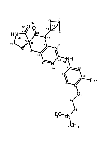 CN(C)CCOc1ccc(Nc2ncc3c(n2)N(C24CC(C2)C4)C(=O)[C@]2(CCNC2=O)C3)cc1F